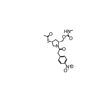 CNC(=O)OC[C@@H]1C[C@H](SC(C)=O)CN1C(=O)Cc1ccc([N+](=O)[O-])cc1